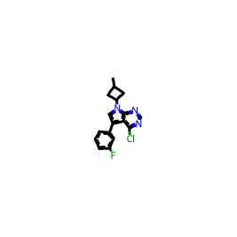 CC1CC(n2cc(-c3cccc(F)c3)c3c(Cl)ncnc32)C1